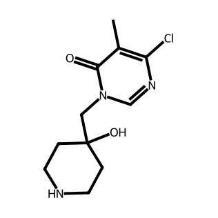 Cc1c(Cl)ncn(CC2(O)CCNCC2)c1=O